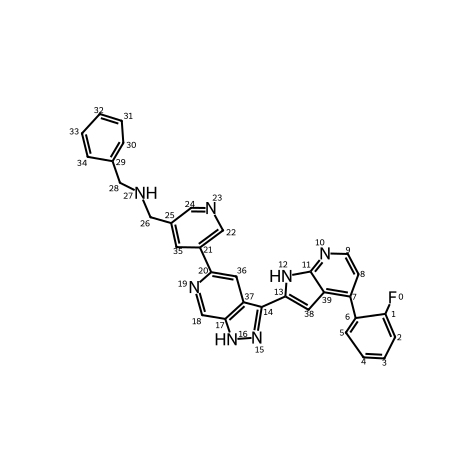 Fc1ccccc1-c1ccnc2[nH]c(-c3n[nH]c4cnc(-c5cncc(CNCc6ccccc6)c5)cc34)cc12